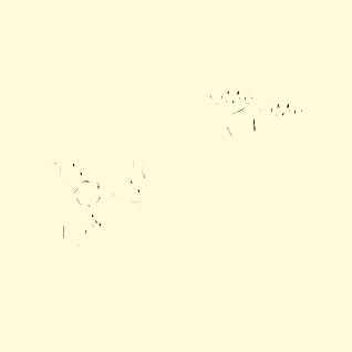 C=Nc1ccc([N+](=O)[O-])cc1SCNC(=O)CCCCCCCC1=CC=C(OC)C(OC)=CC1